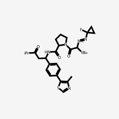 Cc1ncsc1-c1ccc(C(CC(=O)C(C)C)NC(=O)C2CCCN2C(=O)C(/N=N/C2(F)CC2)C(C)(C)C)cc1